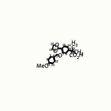 COc1ccc(COc2cc(C(C)(C)C(=O)O)ccc2C2OCCO2)cc1